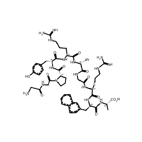 CC(C)[C@@H](NC(=O)[C@H](CCCNC(=N)N)NC(=O)[C@@H](Cc1ccc(O)cc1)NC(=O)[C@@H]1CCCN1C(=O)CNC(=O)CN)C(=O)NCC(=O)N[C@@H](CCCNC(=N)N)C(=O)N[C@H](Cc1ccc2ccccc2c1)C(=O)N[C@@H](C)C(=O)O